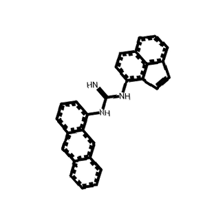 N=C(Nc1ccc2cccc3c2c1C=C3)Nc1cccc2cc3ccccc3cc12